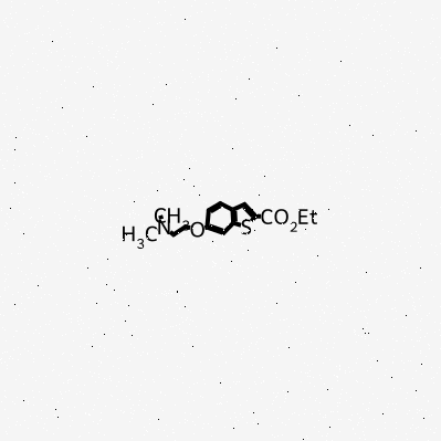 CCOC(=O)c1cc2ccc(OCCN(C)C)cc2s1